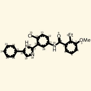 CCc1c(OC)cccc1C(=O)Nc1ccc(Cl)c(-c2ncc(-c3ccccc3)[nH]2)c1